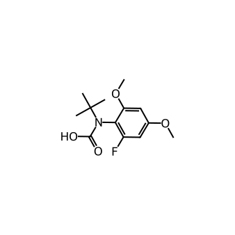 COc1cc(F)c(N(C(=O)O)C(C)(C)C)c(OC)c1